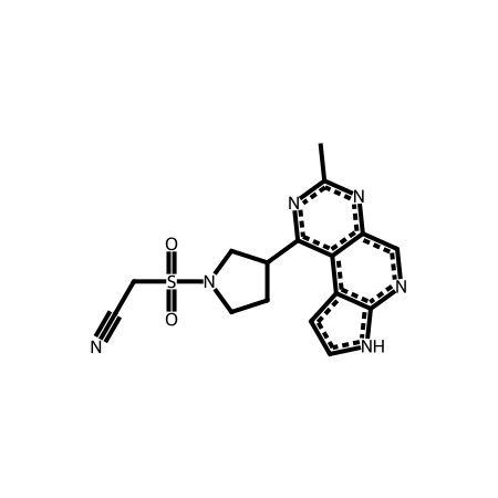 Cc1nc(C2CCN(S(=O)(=O)CC#N)C2)c2c(cnc3[nH]ccc32)n1